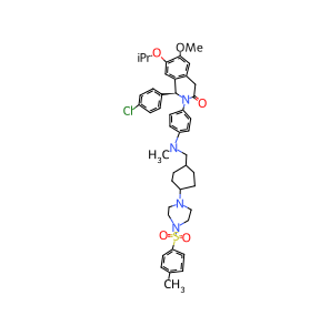 COc1cc2c(cc1OC(C)C)[C@H](c1ccc(Cl)cc1)N(c1ccc(N(C)CC3CCC(N4CCN(S(=O)(=O)c5ccc(C)cc5)CC4)CC3)cc1)C(=O)C2